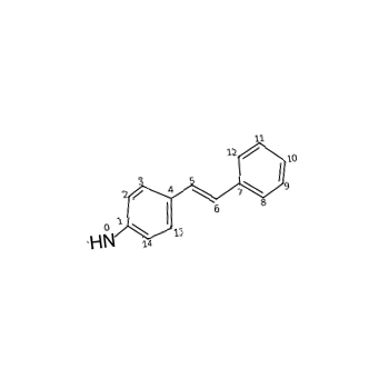 [NH]c1ccc(C=Cc2ccccc2)cc1